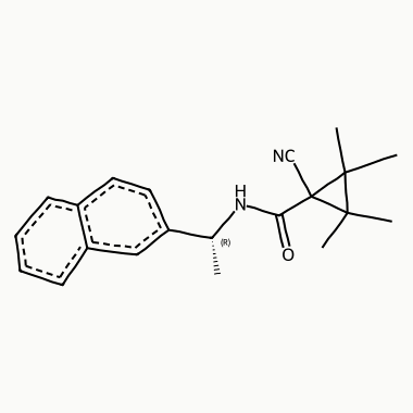 C[C@@H](NC(=O)C1(C#N)C(C)(C)C1(C)C)c1ccc2ccccc2c1